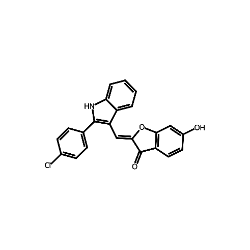 O=C1/C(=C/c2c(-c3ccc(Cl)cc3)[nH]c3ccccc23)Oc2cc(O)ccc21